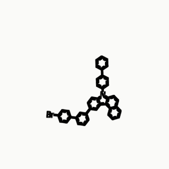 Brc1ccc(-c2cccc(-c3ccc4c(c3)c3c5ccccc5ccc3n4-c3ccc(-c4ccccc4)cc3)c2)cc1